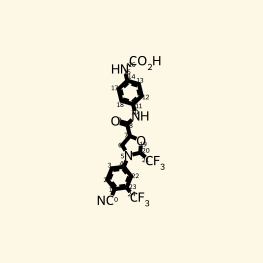 N#Cc1ccc(N2CC(C(=O)Nc3ccc(NC(=O)O)cc3)OC2C(F)(F)F)cc1C(F)(F)F